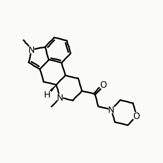 CN1CC(C(=O)CN2CCOCC2)CC2c3cccc4c3c(cn4C)C[C@H]21